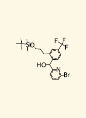 CC(C)(C)[Si](C)(C)OCCCc1cc(C(F)(F)F)ccc1C(O)c1cccc(Br)n1